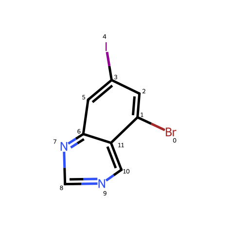 Brc1cc(I)cc2ncncc12